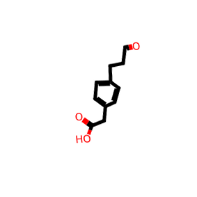 O=CCCc1ccc(CC(=O)O)cc1